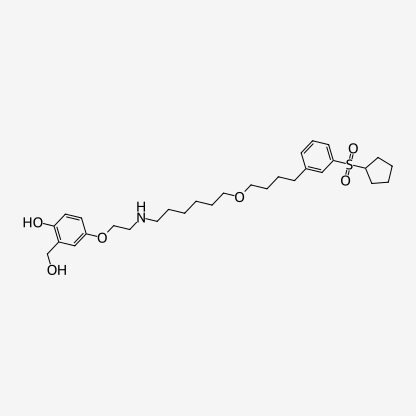 O=S(=O)(c1cccc(CCCCOCCCCCCNCCOc2ccc(O)c(CO)c2)c1)C1CCCC1